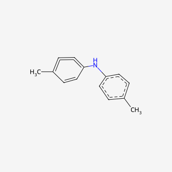 CC1=C=C=C(Nc2ccc(C)cc2)C=C1